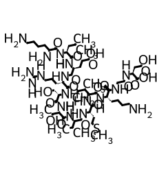 CC[C@H](C)[C@H](NC(=O)[C@H](CCSC)NC(=O)[C@@H](NC(=O)[C@@H](NC(=O)[C@H](CO)NC(=O)[C@H](CCCNC(=N)N)NC(=O)[C@H](CCC(=O)O)NC(=O)[C@H](CC(C)C)NC(=O)[C@@H](N)CCCCN)[C@@H](C)O)C(C)C)C(=O)N[C@@H](CCCCN)C(=O)NCC(=O)N[C@@H](CC(=O)O)C(=O)O